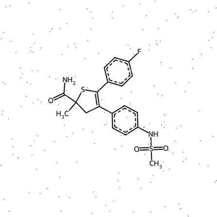 CC1(C(N)=O)CC(c2ccc(NS(C)(=O)=O)cc2)=C(c2ccc(F)cc2)S1